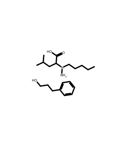 CCCCCN(N)C(CC(C)C)C(=O)O.OCCCc1ccccc1